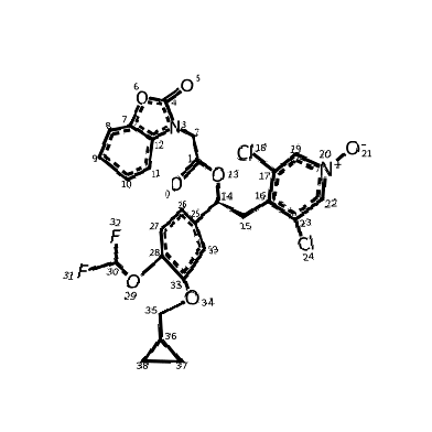 O=C(Cn1c(=O)oc2ccccc21)O[C@@H](Cc1c(Cl)c[n+]([O-])cc1Cl)c1ccc(OC(F)F)c(OCC2CC2)c1